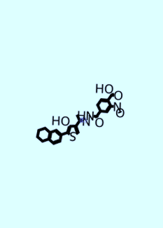 C/C(=N\NC(=O)C1C=C(N=O)C(C(=O)O)=CC1)c1csc(-c2ccc3c(c2)CCCC3)c1O